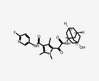 Cc1c(C(=O)Nc2ccc(F)nc2)c(C)n(C)c1C(=O)C(=O)N[C@@]12C[C@@H]3C[C@@H](C[C@@](O)(C3)C1)C2